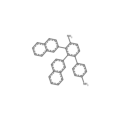 Nc1ccc(-c2ccc(N)c(-c3ccc4ccccc4c3)c2-c2ccc3ccccc3c2)cc1